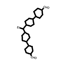 CCC(C1CCC(C2CCC(C=O)CC2)CC1)C1CCC(C2CCC(C=O)CC2)CC1